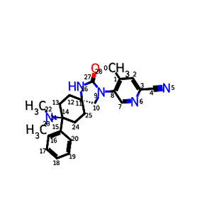 Cc1cc(C#N)ncc1N1C[C@]2(CC[C@](c3ccccc3)(N(C)C)CC2)NC1=O